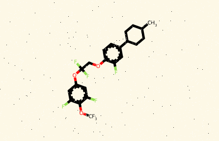 CC1CCC(c2ccc(OCC(F)(F)Oc3cc(F)c(OC(F)(F)F)c(F)c3)c(F)c2)CC1